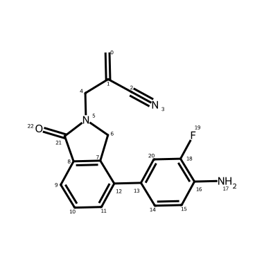 C=C(C#N)CN1Cc2c(cccc2-c2ccc(N)c(F)c2)C1=O